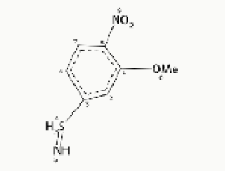 COc1cc([SH3]=N)ccc1[N+](=O)[O-]